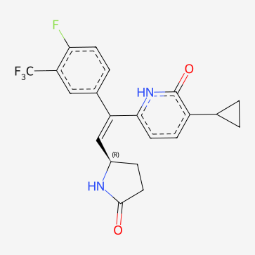 O=C1CC[C@H](C=C(c2ccc(F)c(C(F)(F)F)c2)c2ccc(C3CC3)c(=O)[nH]2)N1